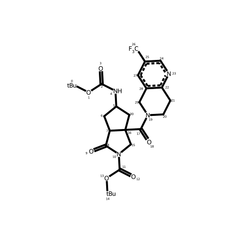 CC(C)(C)OC(=O)NC1CC2C(=O)N(C(=O)OC(C)(C)C)CC2(C(=O)N2CCc3ncc(C(F)(F)F)cc3C2)C1